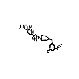 CN1N=C(c2nc(N3CCC(Cc4cc(F)cc(F)c4)CC3)no2)C=CC1O